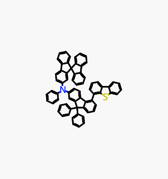 c1ccc(N(c2ccc3c(c2)C(c2ccccc2)(c2ccccc2)c2cccc(-c4cccc5c4sc4ccccc45)c2-3)c2ccc3c(c2)C2(c4ccccc4-c4ccccc42)c2ccccc2-3)cc1